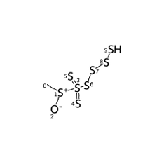 C[S+]([O-])S(=S)(=S)SSSS